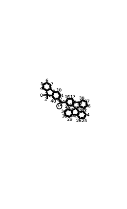 CC1(C)c2ccccc2-c2ccc(C(=O)c3ccc4c(c3)C3(c5ccccc5-c5ccccc53)c3ccccc3-4)cc21